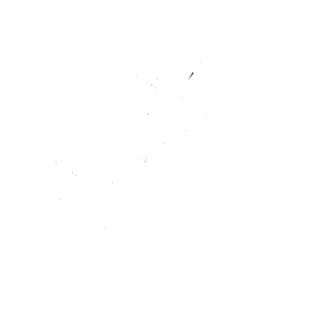 CCOC(=O)/C(C)=C/[C@H](C(C)C)N(C)C(=O)[C@@H](NC(=O)C1CC[C@H](CC)CN1C(C)C)C(C)(C)C